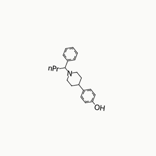 CCCC(c1ccccc1)N1CCC(c2ccc(O)cc2)CC1